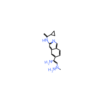 C=C(Nc1cc2cc(/C(N)=C/N(C)N)ccc2cn1)C1CC1